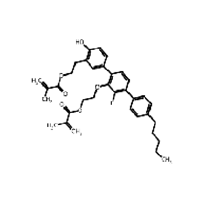 C=C(C)C(=O)OCCOc1c(-c2ccc(O)c(CCOC(=O)C(=C)C)c2)ccc(-c2ccc(CCCCC)cc2)c1F